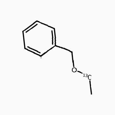 C[13CH2]OCc1[c]cccc1